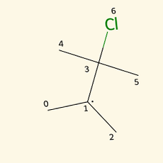 C[C](C)C(C)(C)Cl